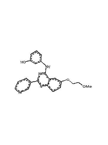 COCCOc1ccc2nc(-c3cccnc3)nc(Nc3cccc(O)c3)c2c1